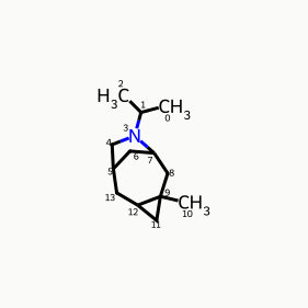 CC(C)N1CC2CC1CC1(C)CC1C2